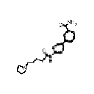 NC(=O)c1cccc(-c2ccc(NC(=O)CCCCN3CCCC3)cc2)c1